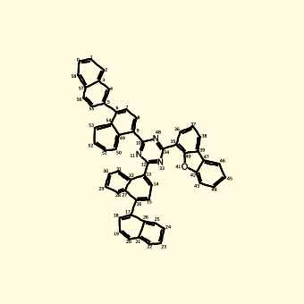 c1ccc2cc(-c3ccc(-c4nc(-c5ccc(-c6cccc7ccccc67)c6ccccc56)nc(-c5cccc6c5oc5ccccc56)n4)c4ccccc34)ccc2c1